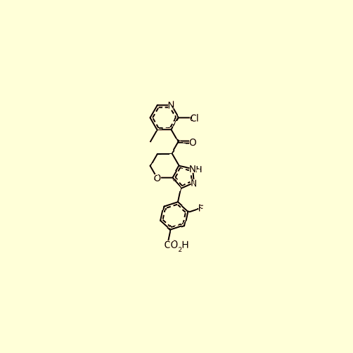 Cc1ccnc(Cl)c1C(=O)C1CCOc2c(-c3ccc(C(=O)O)cc3F)n[nH]c21